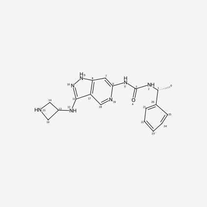 C[C@@H](NC(=O)Nc1cc2[nH]nc(NC3CNC3)c2cn1)c1ccccc1